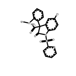 CCOc1ccccc1C1(C(N)=O)C(=O)N(S(=O)(=O)c2ccccn2)c2ccc(Cl)cc21